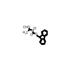 CC(C=O)N(Cl)C(=O)OCC1c2ccccc2-c2ccccc21